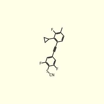 Cc1ccc(C#Cc2cc(F)c(SC#N)c(F)c2)c(C2CC2)c1F